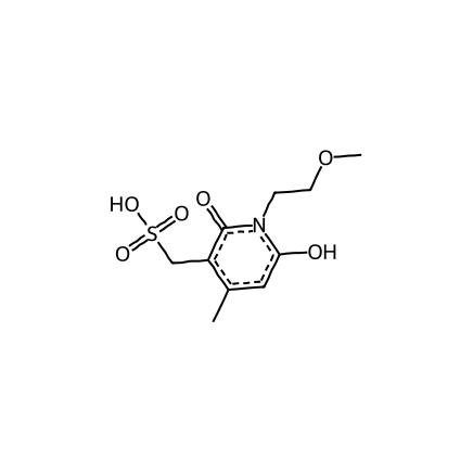 COCCn1c(O)cc(C)c(CS(=O)(=O)O)c1=O